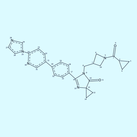 O=C(C1CC1)N1CC(CN2C(=O)C3(CC3)N=C2c2ccc(-c3ccc(-n4ccnc4)nc3)cc2)C1